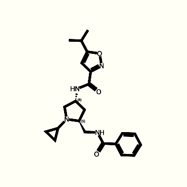 CC(C)c1cc(C(=O)N[C@@H]2C[C@@H](CNC(=O)c3ccccc3)N(C3CC3)C2)no1